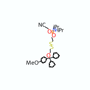 COc1ccc(C(OCCSSCCOP(OCCC#N)N(C(C)C)C(C)C)(c2ccccc2)c2ccccc2)cc1